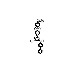 COc1ccc(S(=O)(=O)N2CCN(c3nc(C)cc(Nc4ccc(-c5ccccc5)cc4)n3)CC2)cc1